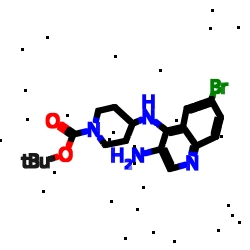 CC(C)(C)OC(=O)N1CCC(Nc2c(N)cnc3ccc(Br)cc23)CC1